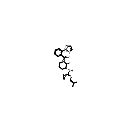 C=N/C(=N\C=C(C)C)N[C@@H]1CCCN(C(=O)c2ccccc2-n2nccn2)[C@H]1C